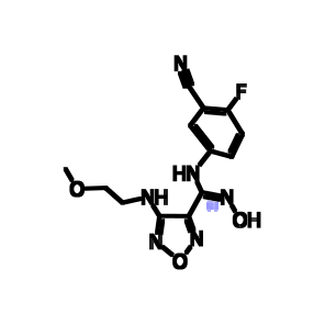 COCCNc1nonc1/C(=N\O)Nc1ccc(F)c(C#N)c1